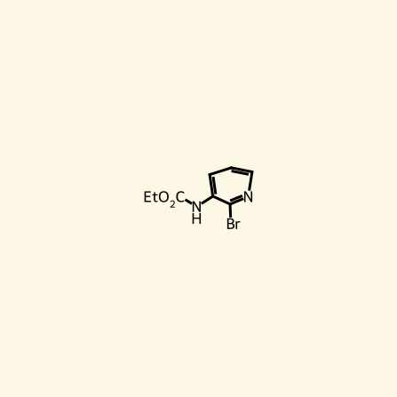 CCOC(=O)Nc1cccnc1Br